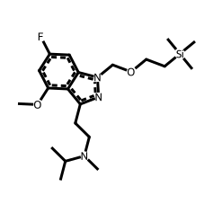 COc1cc(F)cc2c1c(CCN(C)C(C)C)nn2COCC[Si](C)(C)C